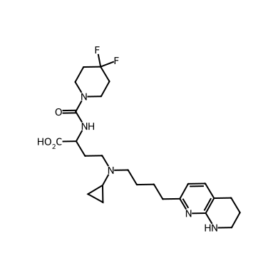 O=C(O)C(CCN(CCCCc1ccc2c(n1)NCCC2)C1CC1)NC(=O)N1CCC(F)(F)CC1